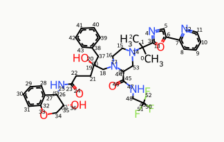 CC(C)(c1ncc(-c2ccccn2)o1)N1CCN(C[C@](O)(CCC(=O)N[C@H]2c3ccccc3OC[C@H]2O)Cc2ccccc2)[C@H](C(=O)NCC(F)(F)F)C1